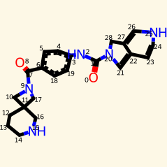 O=C(Nc1ccc(C(=O)N2CC3(CCCNC3)C2)cc1)N1C=C2C=CNC=C2C1